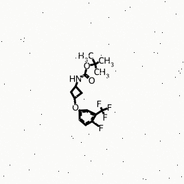 CC(C)(C)OC(=O)NC1CC(Oc2ccc(F)c(C(F)(F)F)c2)C1